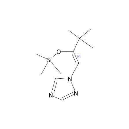 CC(C)(C)/C(=C/n1cncn1)O[Si](C)(C)C